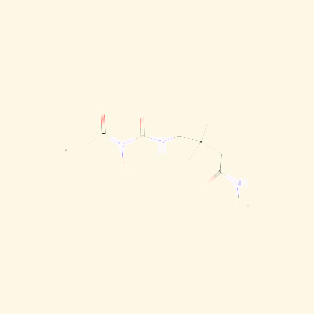 CCCCCCCCCCC(=O)N(O)C(=O)NCC(C)(C)CC(=O)NCCCC